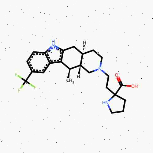 C[C@H]1c2c([nH]c3ccc(C(F)(F)F)cc23)C[C@H]2CCN(CCC3(C(=O)O)CCCN3)C[C@@H]21